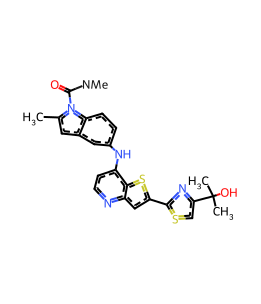 CNC(=O)n1c(C)cc2cc(Nc3ccnc4cc(-c5nc(C(C)(C)O)cs5)sc34)ccc21